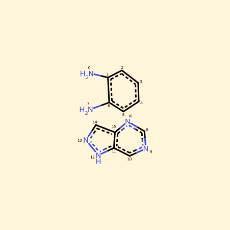 Nc1ccccc1N.c1ncc2[nH]ncc2n1